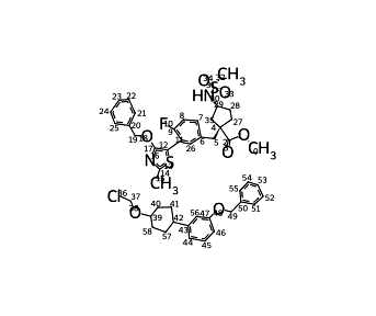 COC(=O)[C@@]1(Cc2ccc(F)c(-c3sc(C)nc3OCc3ccccc3)c2)CC[C@H](NS(C)(=O)=O)C1.ClCOC1CCC(c2cccc(OCc3ccccc3)c2)CC1